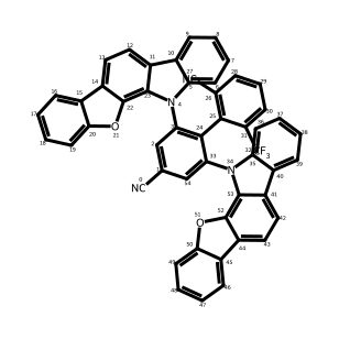 N#Cc1cc(-n2c3ccccc3c3ccc4c5ccccc5oc4c32)c(-c2c(C#N)cccc2C(F)(F)F)c(-n2c3ccccc3c3ccc4c5ccccc5oc4c32)c1